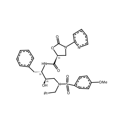 COc1ccc(S(=O)(=O)N(CC(C)C)C[C@@H](O)[C@H](Cc2ccccc2)NC(=O)[C@@H]2CN(c3ccccn3)C(=O)O2)cc1